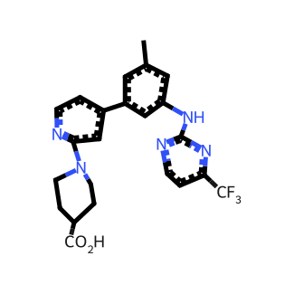 Cc1cc(Nc2nccc(C(F)(F)F)n2)cc(-c2ccnc(N3CCC(C(=O)O)CC3)c2)c1